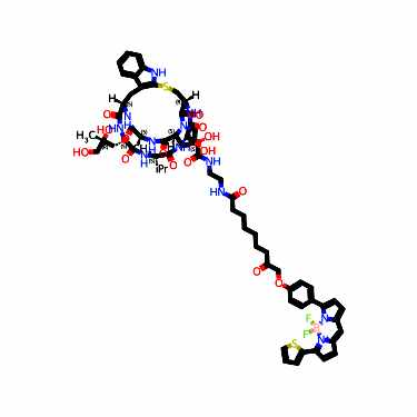 CC(C)[C@@H]1NC(=O)[C@H](C[C@@](C)(O)CO)NC(=O)[C@@H]2Cc3c([nH]c4ccccc34)SC[C@H](NC(=O)[C@@H]([C@@H](O)C(=O)NCCNC(=O)CCCCCCC(=O)COc3ccc(-c4ccc5n4[B-](F)(F)[N+]4=C(c6cccs6)C=CC4=C5)cc3)NC1=O)C(=O)N1C[C@@H](O)C[C@H]1C(=O)N[C@@H](C)C(=O)N2